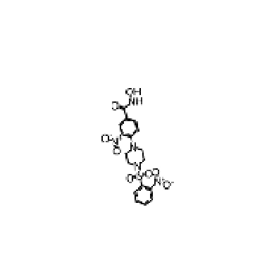 O=C(NO)c1ccc(N2CCN(S(=O)(=O)c3ccccc3[N+](=O)[O-])CC2)c([N+](=O)[O-])c1